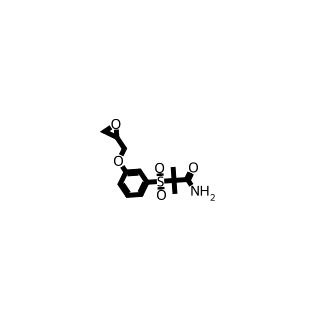 CC(C)(C(N)=O)S(=O)(=O)c1cccc(OCC2CO2)c1